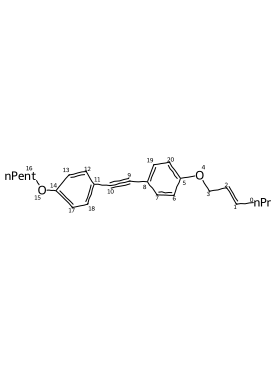 CCCC=CCOc1ccc(C#Cc2ccc(OCCCCC)cc2)cc1